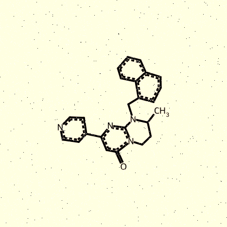 CC1CCn2c(nc(-c3ccncc3)cc2=O)N1Cc1cccc2ccccc12